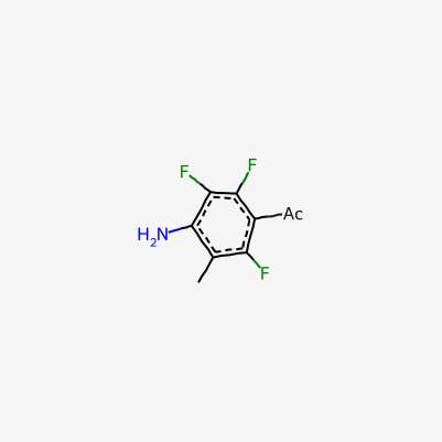 CC(=O)c1c(F)c(C)c(N)c(F)c1F